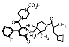 CC(CC1CCC1)C(=O)N1CC[C@@](O)(Cn2cc(C(=O)N3CCN(C(=O)O)CC3)c(-c3ccccc3F)cc2=O)C(C)(C)C1